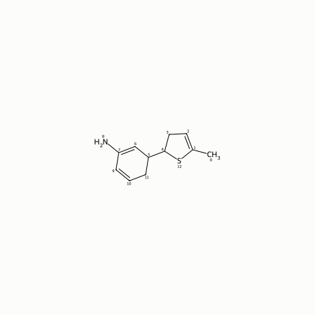 CC1=CCC(C2C=C(N)C=CC2)S1